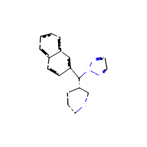 c1ccc2cc(C([C@@H]3CCCNC3)n3nccn3)ccc2c1